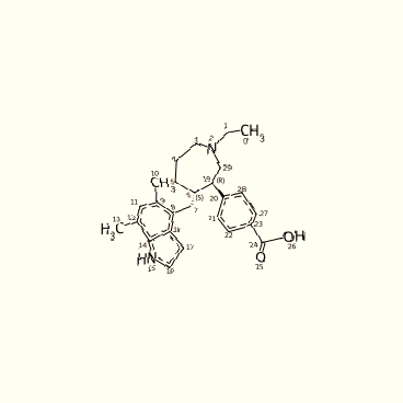 CCN1CCC[C@@H](Cc2c(C)cc(C)c3[nH]ccc23)[C@H](c2ccc(C(=O)O)cc2)C1